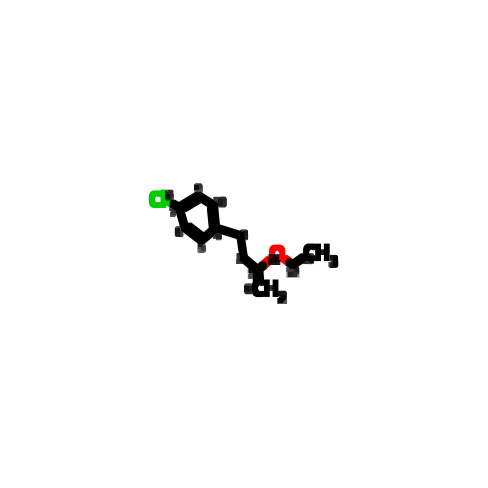 C=C(CCc1ccc(Cl)cc1)OCC